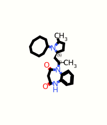 CC1CC[C@@H](C[C@H](C)N2C(=O)CC(=O)Nc3ccccc32)N1C1CCCCCCC1